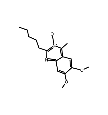 CCCCCc1nc2cc(OC)c(OC)cc2c(C)[n+]1[O-]